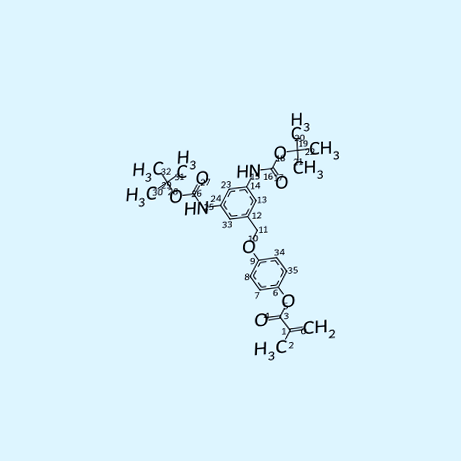 C=C(C)C(=O)Oc1ccc(OCc2cc(NC(=O)OC(C)(C)C)cc(NC(=O)OC(C)(C)C)c2)cc1